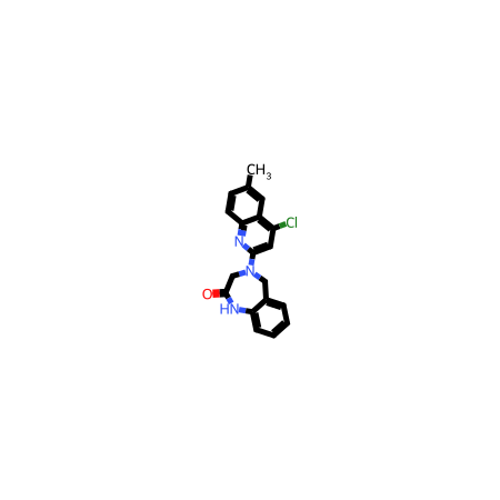 Cc1ccc2nc(N3CC(=O)Nc4ccccc4C3)cc(Cl)c2c1